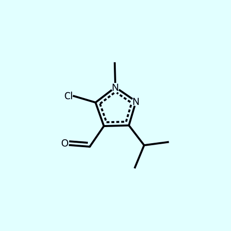 CC(C)c1nn(C)c(Cl)c1C=O